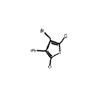 CC(C)c1c(Cl)sc(Cl)c1Br